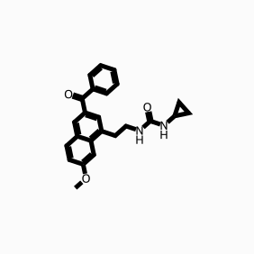 COc1ccc2cc(C(=O)c3ccccc3)cc(CCNC(=O)NC3CC3)c2c1